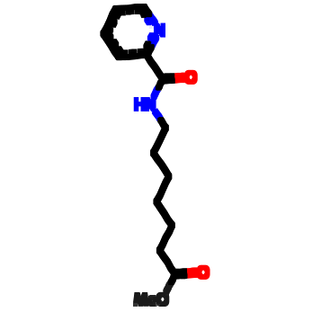 COC(=O)CCCCCCNC(=O)c1ccccn1